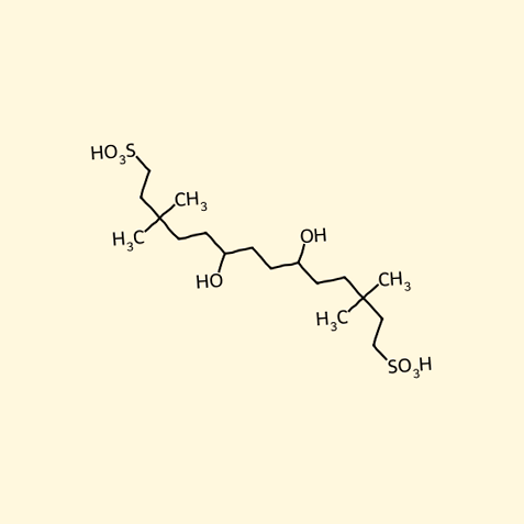 CC(C)(CCC(O)CCC(O)CCC(C)(C)CCS(=O)(=O)O)CCS(=O)(=O)O